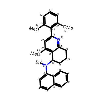 CCN(c1cccc2ccccc12)C1CCCc2nc(-c3c(OC)cccc3OC)cc(OC)c21